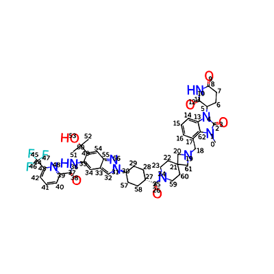 Cn1c(=O)n(C2CCC(=O)NC2=O)c2cccc(CN3CC4(CCN(C(=O)[C@H]5CC[C@H](n6cc7cc(NC(=O)c8cccc(C(F)(F)F)n8)c(C(C)(C)O)cc7n6)CC5)CC4)C3)c21